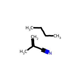 C=C(C)C#N.CCCC